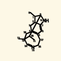 CC1C2CC3=C4C=C2NC1C(C)C(C)(/C=N\CC4)C3